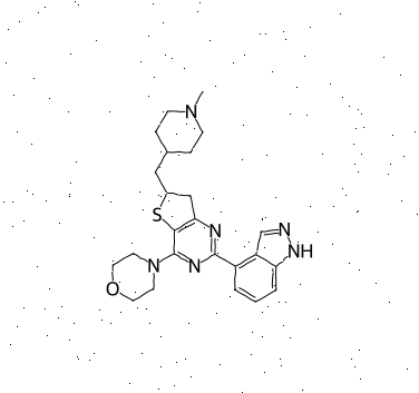 CN1CCC(CC2Cc3nc(-c4cccc5[nH]ncc45)nc(N4CCOCC4)c3S2)CC1